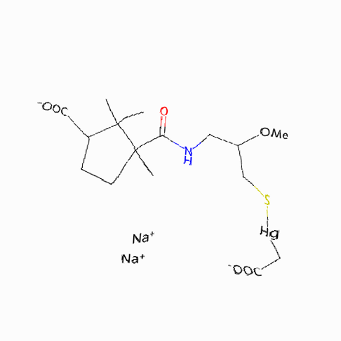 COC(CNC(=O)C1(C)CCC(C(=O)[O-])C1(C)C)C[S][Hg][CH2]C(=O)[O-].[Na+].[Na+]